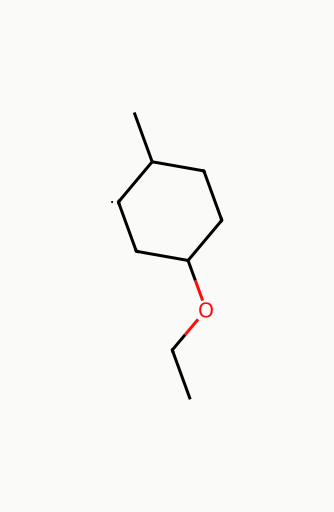 CCOC1C[CH]C(C)CC1